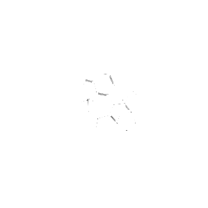 C=CC1=C(/C=C\C)C2C(C#N)=C3CCC(=C2C(C)CC1(C)C)C3